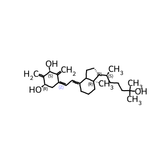 C=C1/C(=C\C=C2CCC[C@@]3(C)C2CC[C@@H]3[C@@H](C)CCCC(C)(C)O)C[C@@H](O)C(=C)[C@H]1O